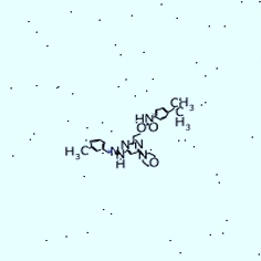 Cc1cccc(/C=N/Nc2cc(N3CCOCC3)nc(CCOC(=O)Nc3ccc(C(C)C)cc3)n2)c1